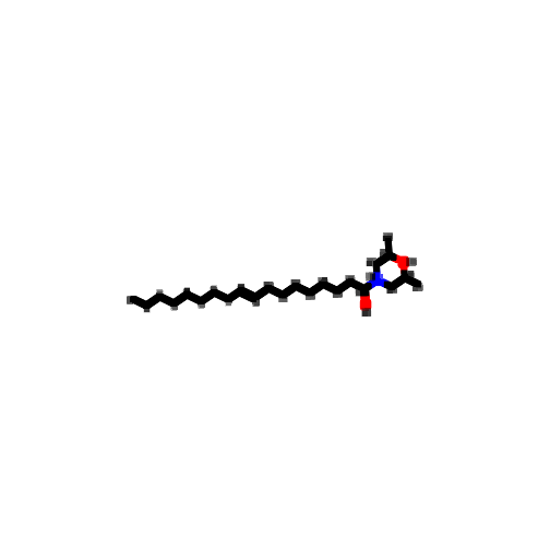 CCCCCCCCC=CCCCCCCCC(=O)N1CC(C)OC(C)C1